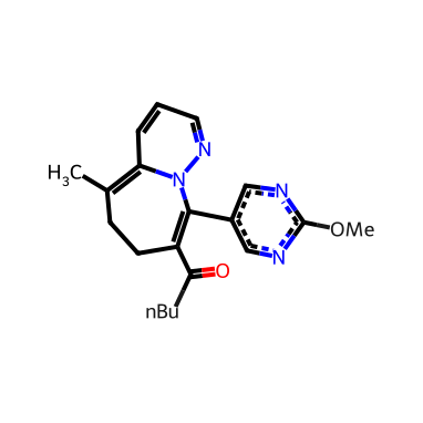 CCCCC(=O)C1=C(c2cnc(OC)nc2)N2N=CC=CC2=C(C)CC1